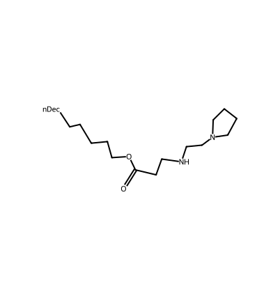 CCCCCCCCCCCCCCCOC(=O)CCNCCN1CCCC1